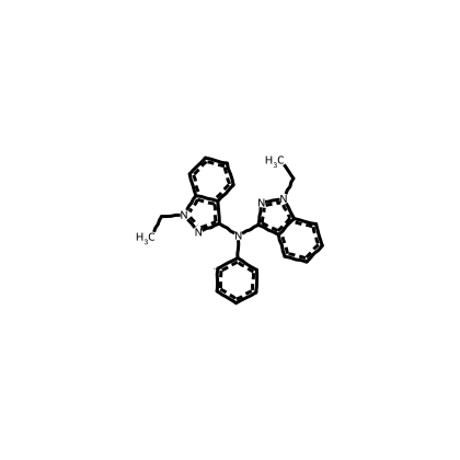 CCn1nc(N(c2[c]cccc2)c2nn(CC)c3ccccc23)c2ccccc21